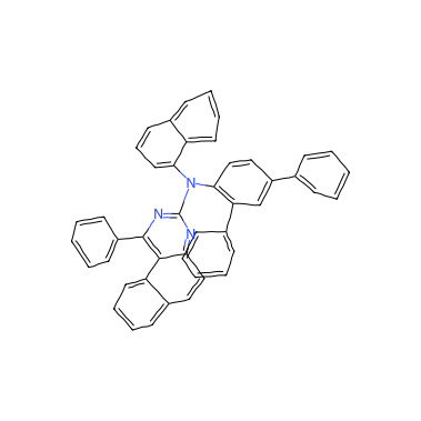 c1ccc(-c2ccc(N(c3nc(-c4ccccc4)c4c(ccc5ccccc54)n3)c3cccc4ccccc34)c(-c3ccccc3)c2)cc1